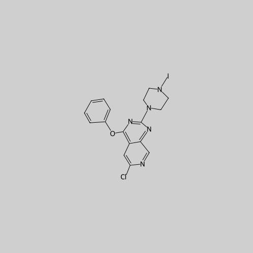 Clc1cc2c(Oc3ccccc3)nc(N3CCN(I)CC3)nc2cn1